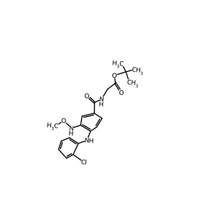 CONc1cc(C(=O)NCC(=O)OC(C)(C)C)ccc1Nc1ccccc1Cl